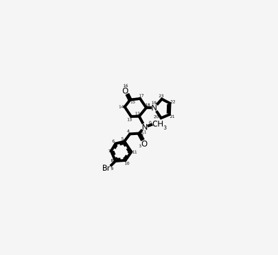 CN(C(=O)Cc1ccc(Br)cc1)C1CCC(=O)CC1N1CC=CC1